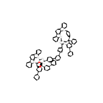 c1ccc(-c2ccc(-c3nc(-c4ccc(-c5cccc(-c6ccc(-c7nc8nc(n7)C(c7ccccc7)(c7ccc(-c9ccccc9)cc7)c7ccc(cc7)-n7c9ccccc9c9ccc%10c%11ccccc%11n-8c%10c97)cc6)c5)cc4)nc(-n4c5ccccc5c5ccc6c7ccccc7n(-c7ccc(-c8cccc(-c9ccccc9)c8)cc7)c6c54)n3)cc2)cc1